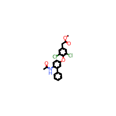 COC(=O)Cc1cc(Cl)c(Oc2ccc(NC(C)=O)c(-c3ccccc3)c2)c(Cl)c1